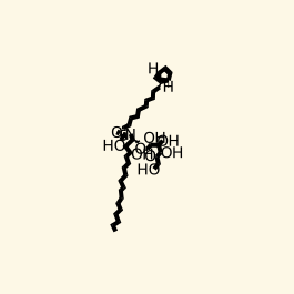 CCCCCCCCCCCCCC[C@@H](O)[C@@H](O)[C@H](COC1OC(CO)C(O)C(O)C1O)N=S(C)(=O)CCCCCCCCCC[C@H]1C[C@H]2C=C[C@@H]1C2